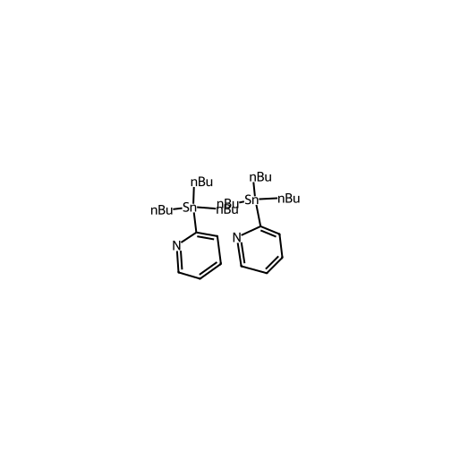 CCC[CH2][Sn]([CH2]CCC)([CH2]CCC)[c]1ccccn1.CCC[CH2][Sn]([CH2]CCC)([CH2]CCC)[c]1ccccn1